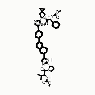 COC(=O)NC(C(=O)N1CCC[C@H]1c1ncc(-c2ccc3cc(-c4ccc(-c5cnc([C@@H]6CC7(CC7)CN6C(=O)[C@H](NC(=O)OC)c6ccccc6)[nH]5)cc4)ccc3c2)[nH]1)C(C)C